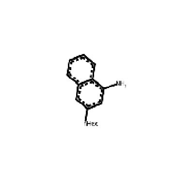 CCCCCCc1cc(N)c2ccccc2c1